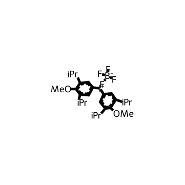 COc1c(C(C)C)cc([I+]c2cc(C(C)C)c(OC)c(C(C)C)c2)cc1C(C)C.F[B-](F)(F)F